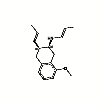 CC=CN[C@H]1Cc2c(cccc2OC)C[C@H]1C=CC